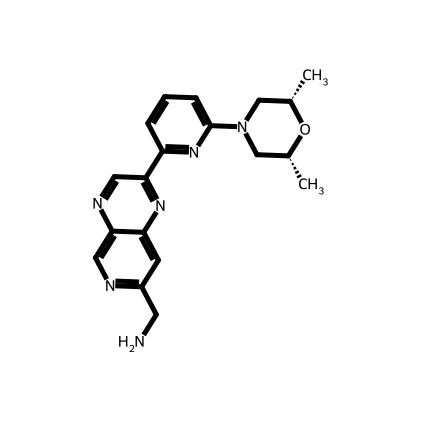 C[C@@H]1CN(c2cccc(-c3cnc4cnc(CN)cc4n3)n2)C[C@H](C)O1